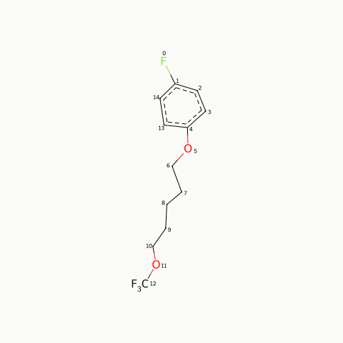 Fc1ccc(OCCCCCOC(F)(F)F)cc1